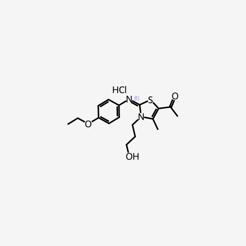 CCOc1ccc(/N=c2/sc(C(C)=O)c(C)n2CCCO)cc1.Cl